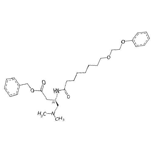 CN(C)C[C@@H](CC(=O)OCc1ccccc1)NC(=O)CCCCCCCOCCOc1ccccc1